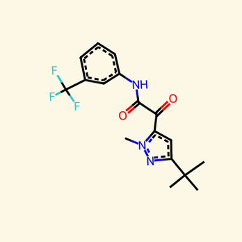 Cn1nc(C(C)(C)C)cc1C(=O)C(=O)Nc1cccc(C(F)(F)F)c1